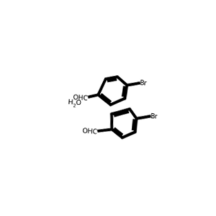 O.O=Cc1ccc(Br)cc1.O=Cc1ccc(Br)cc1